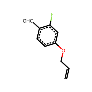 C=CCOc1ccc(C=O)c(F)c1